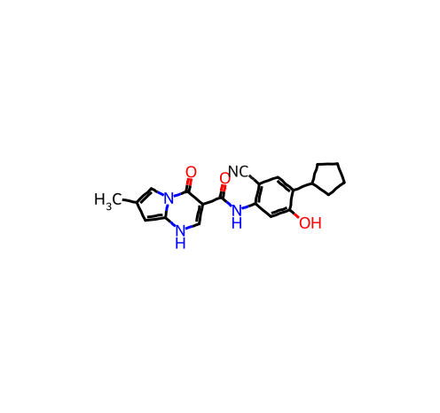 Cc1cc2[nH]cc(C(=O)Nc3cc(O)c(C4CCCC4)cc3C#N)c(=O)n2c1